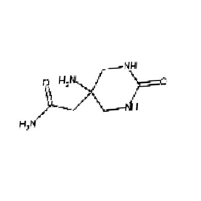 NC(=O)CC1(N)CNC(=O)NC1